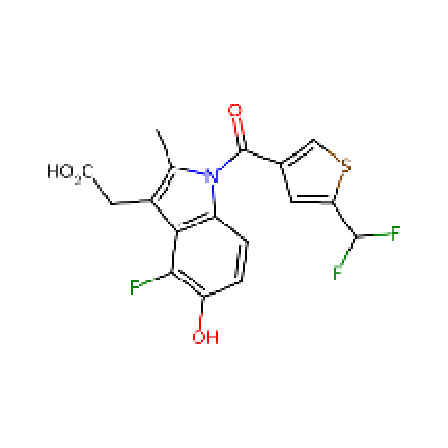 Cc1c(CC(=O)O)c2c(F)c(O)ccc2n1C(=O)c1csc(C(F)F)c1